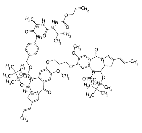 C=CCOC(=O)N[C@@H](C(=O)N[C@H](C)C(=O)Nc1ccc(COC(=O)N2c3cc(OCCCOc4cc5c(cc4OC)C(=O)N4C=C(C=CC)CC4C(O[Si](C)(C)C(C)(C)C)N5C(=O)O)c(OC)cc3C(=O)N3C=C(C=CC)C[C@H]3[C@@H]2O[Si](C)(C)C(C)(C)C)cc1)C(C)C